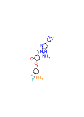 COc1cc(C(C)n2c(N)nc3cc(-c4cnn(C)c4)cnc32)ccc1OCc1ccc(C(F)(F)P)cc1